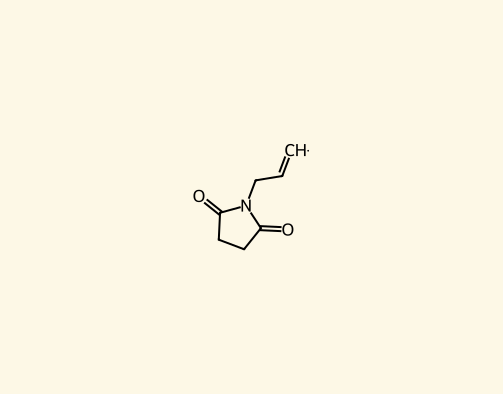 [CH]=CCN1C(=O)CCC1=O